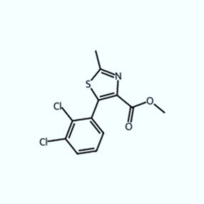 COC(=O)c1nc(C)sc1-c1cccc(Cl)c1Cl